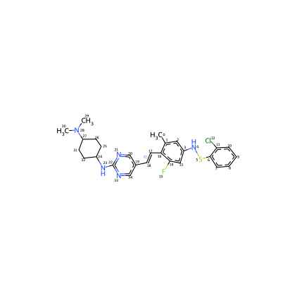 Cc1cc(NSc2ccccc2Cl)cc(F)c1/C=C/c1cnc(NC2CCC(N(C)C)CC2)nc1